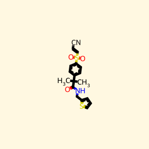 CC(C)(C(=O)NCc1cccs1)c1ccc(S(=O)(=O)C=CC#N)cc1